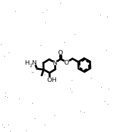 CC1(CN)CCN(C(=O)OCc2ccccc2)CC1O